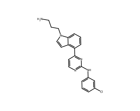 NCCCn1ccc2c(-c3ccnc(Nc4cccc(Cl)c4)n3)cccc21